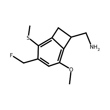 COc1cc(CF)c(SC)c2c1C(CN)C2